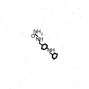 NC(=O)CNCCc1ccc(NCc2ccccc2)cc1